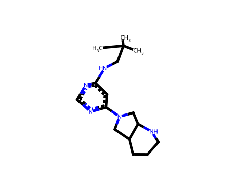 CC(C)(C)CNc1cc(N2CC3CCCNC3C2)ncn1